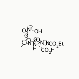 CCOC(=O)N1CCN(C(=O)[C@H](CCC(=O)O)NC(=O)c2cc(OCC(=O)N3CCC[C@@H]3CO)c3ccc(C)cc3n2)CC1